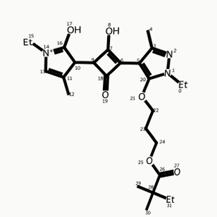 CCn1nc(C)c(C2=C(O)C(C3C(C)=C[N+](CC)=C3O)C2=O)c1OCCCOC(=O)C(C)(C)CC